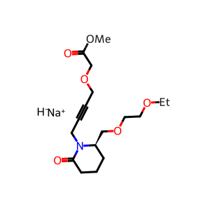 CCOCCOC[C@H]1CCCC(=O)N1CC#CCOCC(=O)OC.[H-].[Na+]